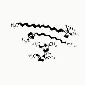 CCCCCCCCCCCCCCCC[n+]1ccn(C)c1C.CCCCCCCCCCCC[n+]1ccn(C)c1.CC[n+]1ccn(C)c1.CC[n+]1ccn(C)c1C